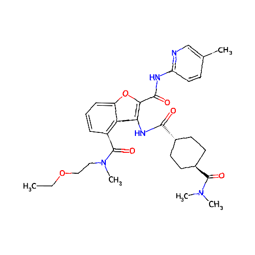 CCOCCN(C)C(=O)c1cccc2oc(C(=O)Nc3ccc(C)cn3)c(NC(=O)[C@H]3CC[C@H](C(=O)N(C)C)CC3)c12